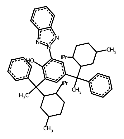 CC1CCC(C(C)C)C(C(C)(c2ccccc2)c2cc(-n3nc4ccccc4n3)c(O)c(C(C)(c3ccccc3)C3CC(C)CCC3C(C)C)c2)C1